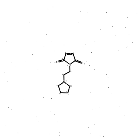 O=C1C=CC(=O)N1CCN1CCCC1